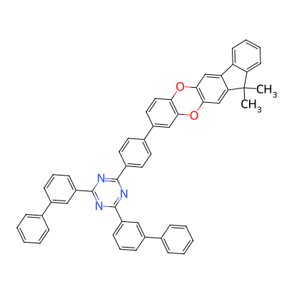 CC1(C)c2ccccc2-c2cc3c(cc21)Oc1cc(-c2ccc(-c4nc(-c5cccc(-c6ccccc6)c5)nc(-c5cccc(-c6ccccc6)c5)n4)cc2)ccc1O3